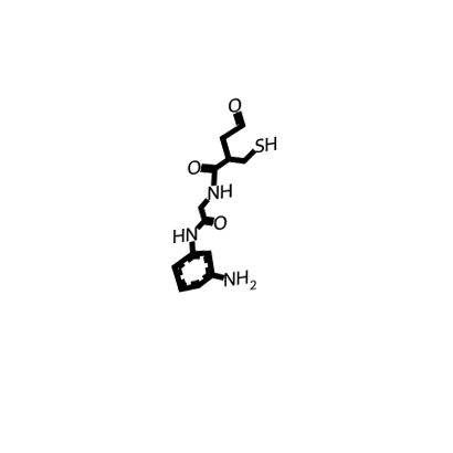 Nc1cccc(NC(=O)CNC(=O)C(CS)CC=O)c1